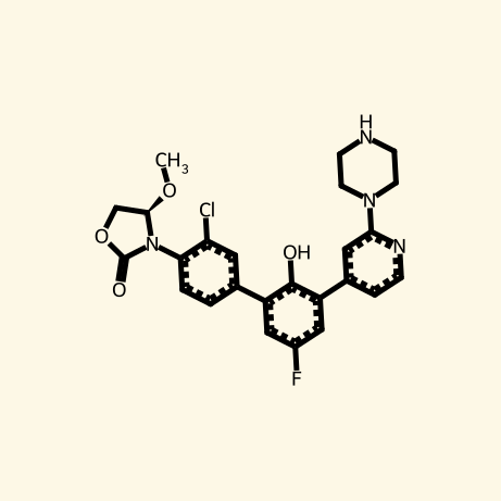 CO[C@@H]1COC(=O)N1c1ccc(-c2cc(F)cc(-c3ccnc(N4CCNCC4)c3)c2O)cc1Cl